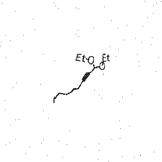 CCOC(C#CCCCCI)OCC